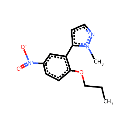 CCCOc1ccc([N+](=O)[O-])cc1-c1ccnn1C